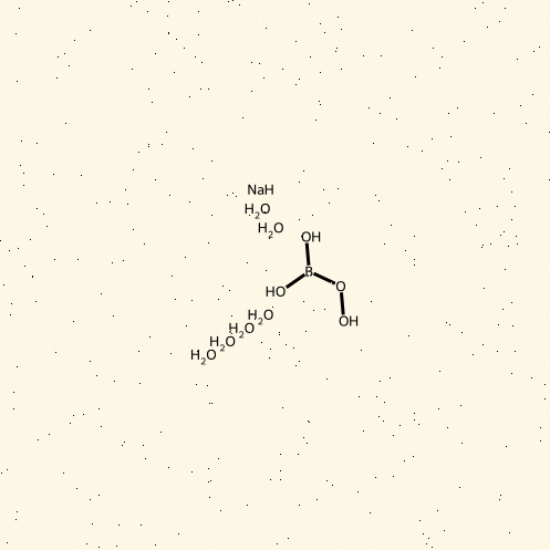 O.O.O.O.O.O.OOB(O)O.[NaH]